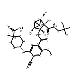 COc1cc(C#N)c(O[C@H]2CC[C@@](C)(C(=O)O)CC2)cc1C(=O)N[C@@H]1[C@H]2C3C2[C@H]3[C@@H]1C(=O)NCC(C)(C)C